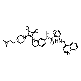 CN(C)CCN1CCN(c2c(N3CCc4ccc(NC(=O)c5sccc5NCc5ccnc6ccccc56)cc43)c(=O)c2=O)CC1